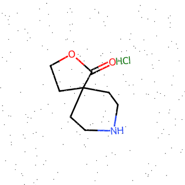 Cl.O=C1OCCC12CCNCC2